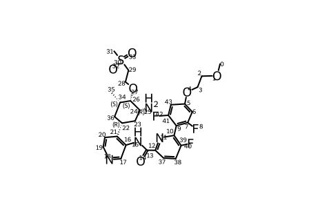 COCCOc1cc(F)c(-c2nc(C(=O)Nc3cnccc3[C@H]3C[C@@H](N)[C@@H](OCCS(C)(=O)=O)[C@@H](C)C3)ccc2F)c(F)c1